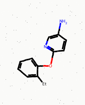 CCc1ccccc1Oc1ccc(N)cn1